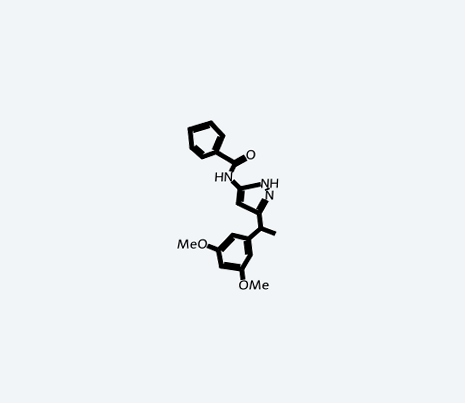 COc1cc(OC)cc(C(C)c2cc(NC(=O)c3ccccc3)[nH]n2)c1